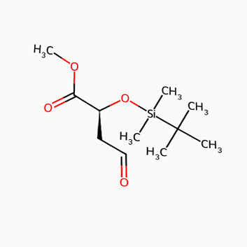 COC(=O)[C@H](CC=O)O[Si](C)(C)C(C)(C)C